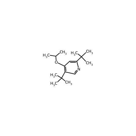 CC(C)Oc1cc(C(C)(C)C)ncc1C(C)(C)C